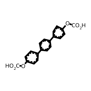 O=C(O)Oc1ccc(-c2ccc(-c3ccc(OC(=O)O)cc3)cc2)cc1